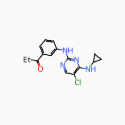 CCC(=O)c1cccc(Nc2ncc(Cl)c(NC3CC3)n2)c1